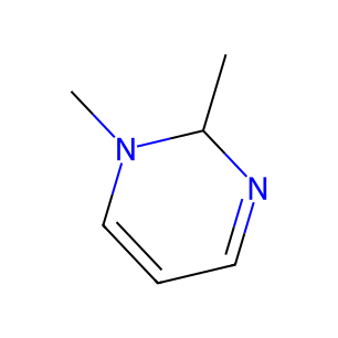 CC1N=CC=CN1C